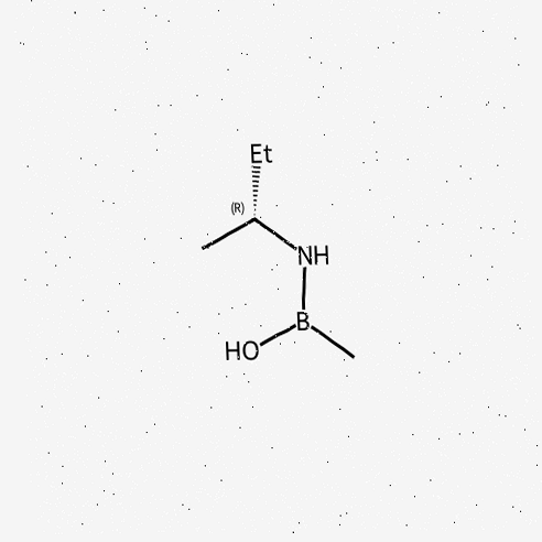 CC[C@@H](C)NB(C)O